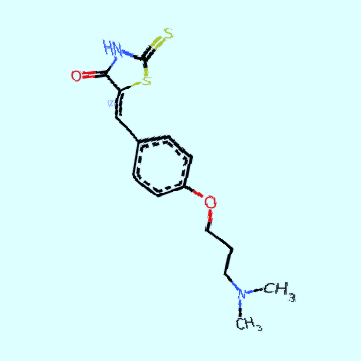 CN(C)CCCOc1ccc(/C=C2\SC(=S)NC2=O)cc1